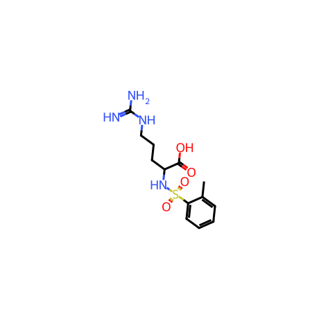 Cc1ccccc1S(=O)(=O)NC(CCCNC(=N)N)C(=O)O